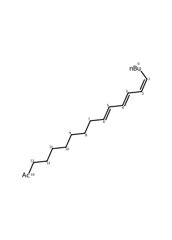 CCCC\C=C/C=C/C=C/CCCCCCCC(C)=O